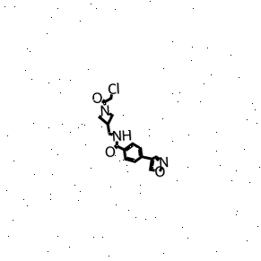 O=C(NCC1CN(C(=O)CCl)C1)c1ccc(-c2cnoc2)cc1